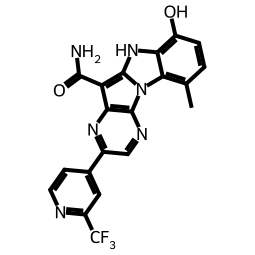 Cc1ccc(O)c2[nH]c3c(C(N)=O)c4nc(-c5ccnc(C(F)(F)F)c5)cnc4n3c12